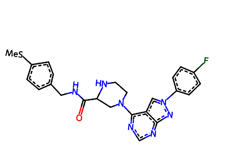 CSc1ccc(CNC(=O)C2CN(c3ncnc4nn(-c5ccc(F)cc5)cc34)CCN2)cc1